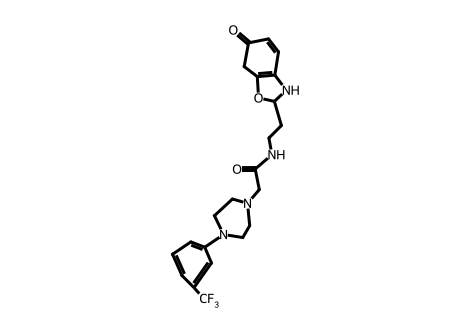 O=C1C=CC2=C(C1)OC(CCNC(=O)CN1CCN(c3cccc(C(F)(F)F)c3)CC1)N2